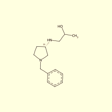 CC(O)CN[C@H]1CCN(Cc2ccccc2)C1